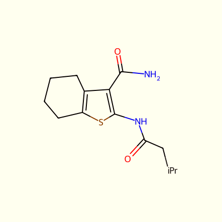 CC(C)CC(=O)Nc1sc2c(c1C(N)=O)CCCC2